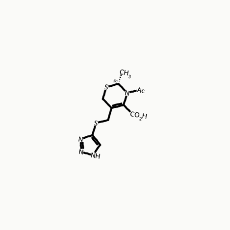 CC(=O)N1C(C(=O)O)=C(CSc2c[nH]nn2)CS[C@@H]1C